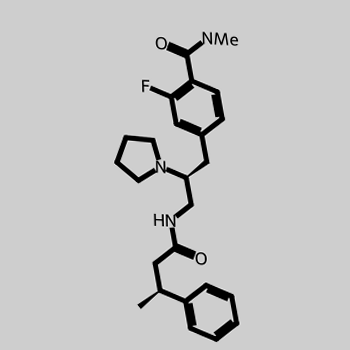 CNC(=O)c1ccc(C[C@@H](CNC(=O)C[C@H](C)c2ccccc2)N2CCCC2)cc1F